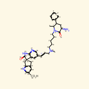 CC1C(c2ccccc2)CC(N)C(=O)N1CCCCCN(C)C/C=C/c1cnc2c(c1)[C@@]1(Cc3cc(C(=O)O)cnc3C1)C(=O)N2